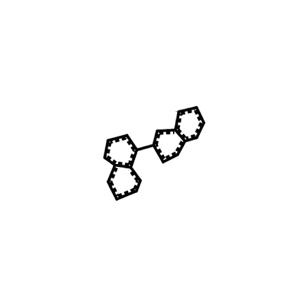 [c]1cccc2ccc(-c3cccc4ccccc34)cc12